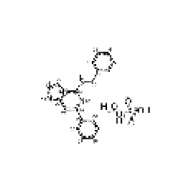 O.O=S(=O)(O)O.c1ccc(CSc2nc(-c3ccccc3)cc3nncn23)cc1